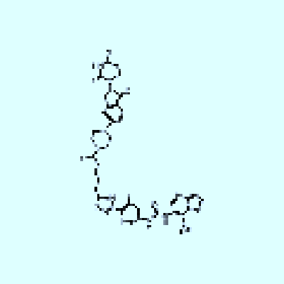 Cc1cc(NC(=O)Nc2cnc3ccnn3c2C2CC2)cnc1-c1noc(CCCCC(=O)N2CCN(c3ccc4c(c3)CN(C3CCC(=O)NC3=O)C4=O)CC2)n1